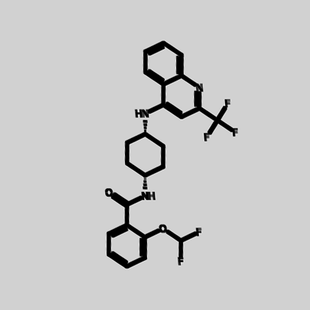 O=C(N[C@H]1CC[C@@H](Nc2cc(C(F)(F)F)nc3ccccc23)CC1)c1ccccc1OC(F)F